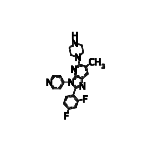 Cc1cc2nc(-c3ccc(F)cc3F)n(-c3ccncc3)c2nc1N1CCNCC1